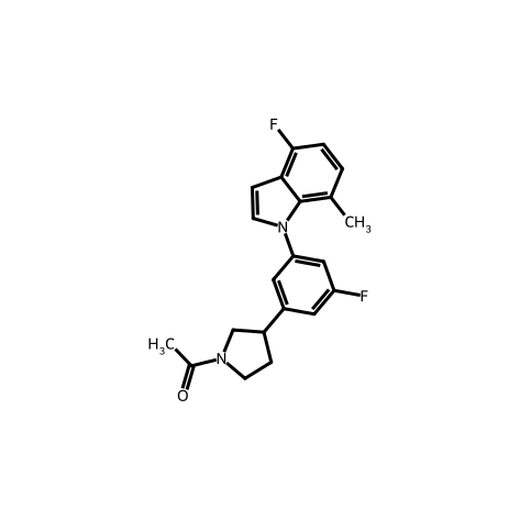 CC(=O)N1CCC(c2cc(F)cc(-n3ccc4c(F)ccc(C)c43)c2)C1